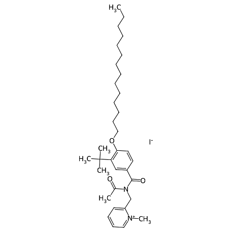 CCCCCCCCCCCCCCOc1ccc(C(=O)N(Cc2cccc[n+]2C)C(C)=O)cc1C(C)(C)C.[I-]